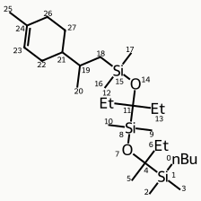 CCCC[Si](C)(C)C(C)(CC)O[Si](C)(C)C(CC)(CC)O[Si](C)(C)CC(C)C1CC=C(C)CC1